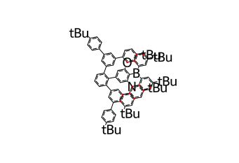 CC(C)(C)c1ccc(-c2cc(-c3ccc(C(C)(C)C)cc3)cc(-c3cccc(-c4cc(-c5ccc(C(C)(C)C)cc5)cc(-c5ccc(C(C)(C)C)cc5)c4)c3-c3cc4c5c(c3)N(c3ccc(C(C)(C)C)cc3)c3ccc(C(C)(C)C)cc3B5c3cc(C(C)(C)C)ccc3O4)c2)cc1